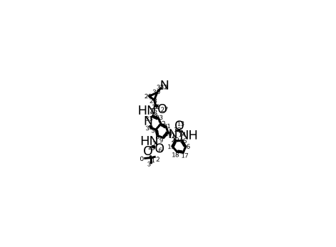 CC(C)(C)OC(=O)Nc1cc(-n2c(=O)[nH]c3ccccc32)cc2cc(NC(=O)C3CC3C#N)ncc12